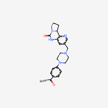 CNC(=O)c1ccc(N2CCN(Cc3cnc4c(c3)NC(=O)N3CCCC43)CC2)cc1